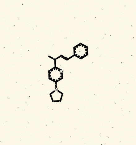 CC(C=Cc1ccccc1)c1ccc(N2CCCC2)cn1